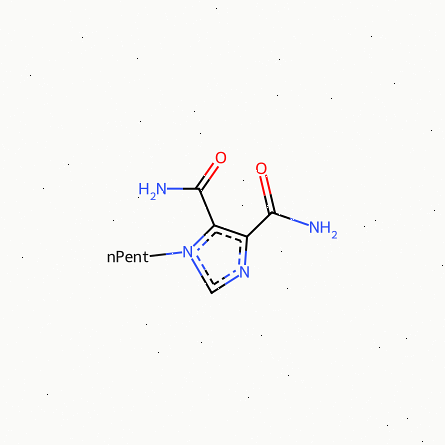 CCCCCn1cnc(C(N)=O)c1C(N)=O